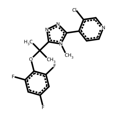 Cn1c(-c2ccncc2Cl)nnc1C(C)(C)Oc1c(F)cc(F)cc1F